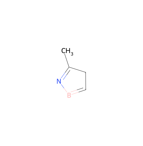 CC1=NB=CC1